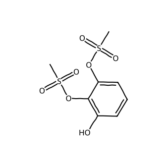 CS(=O)(=O)Oc1cccc(O)c1OS(C)(=O)=O